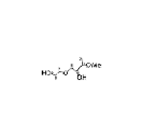 COC(C)C(O)COCCO